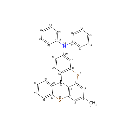 Cc1cc2c3c(c1)Sc1cc(N(c4ccccc4)c4ccccc4)ccc1B3c1ccccc1S2